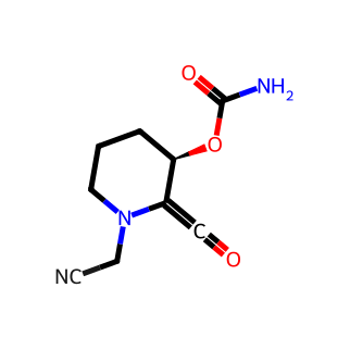 N#CCN1CCC[C@@H](OC(N)=O)C1=C=O